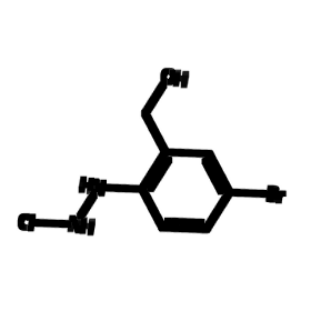 OCc1cc(Br)ccc1NNCl